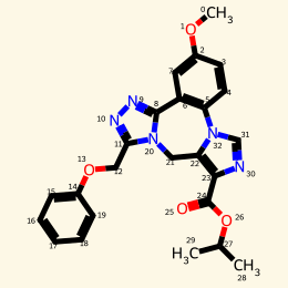 COc1ccc2c(c1)-c1nnc(COc3ccccc3)n1Cc1c(C(=O)OC(C)C)ncn1-2